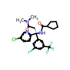 CN(C)C(=O)C[C@](NC(=O)C1CCCC1)(c1cc(F)cc(C(F)(F)F)c1)c1ccc(Cl)cn1